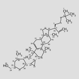 C=C[C@H](CCCC(C)(C)C)C1CCC2C3CC=C4C(CC[C@H](C5CC5[C@@H]5CC[C@H](CO)C[C@H](C)C5)C4(C)C)[C@]3(C)CC[C@@]21C